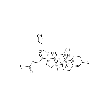 CCCC(=O)O[C@]1(C(=O)COC(C)=O)CC[C@H]2[C@@H]3CCC4=CC(=O)CC[C@]4(C)[C@H]3[C@@H](O)C[C@@]21C